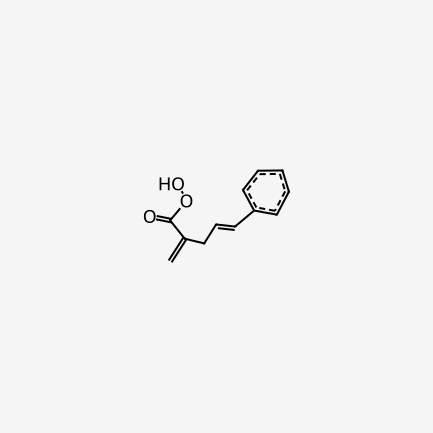 C=C(CC=Cc1ccccc1)C(=O)OO